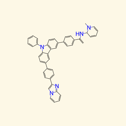 C=C(NC1C=CC=CN1C)c1ccc(-c2ccc3c(c2)c2cc(-c4ccc(-c5cn6ccccc6n5)cc4)ccc2n3-c2ccccc2)cc1